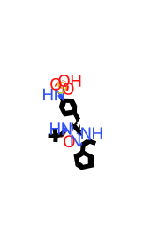 Cc1[nH]c([C@H](Cc2ccc(NS(=O)(=O)O)cc2)NC(=O)C(C)(C)C)nc1-c1ccccc1